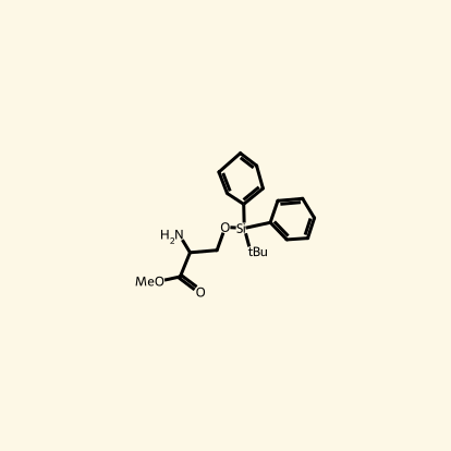 COC(=O)C(N)CO[Si](c1ccccc1)(c1ccccc1)C(C)(C)C